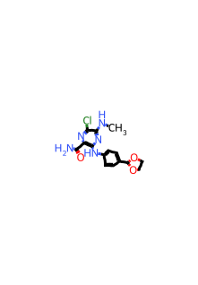 CNc1nc(Nc2ccc(C3OCCO3)cc2)c(C(N)=O)nc1Cl